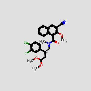 COc1c(C#N)cc2ccccc2c1C(=O)N(C)C[C@@H](CC(OC)OC)c1ccc(Cl)c(Cl)c1